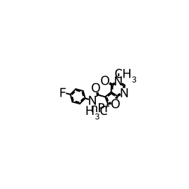 CCCN(C(=O)c1c(C)oc2ncn(C)c(=O)c12)c1ccc(F)cc1